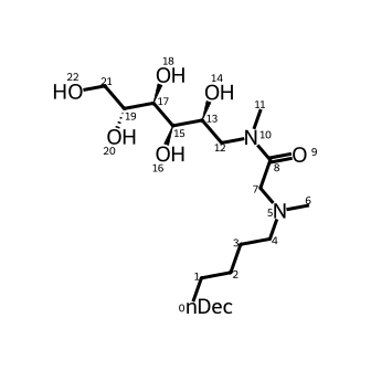 CCCCCCCCCCCCCCN(C)CC(=O)N(C)C[C@H](O)[C@@H](O)[C@H](O)[C@H](O)CO